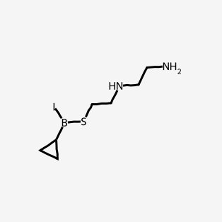 NCCNCCSB(I)C1CC1